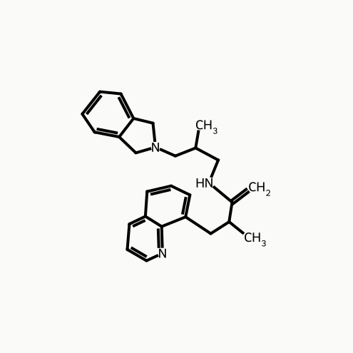 C=C(NCC(C)CN1Cc2ccccc2C1)C(C)Cc1cccc2cccnc12